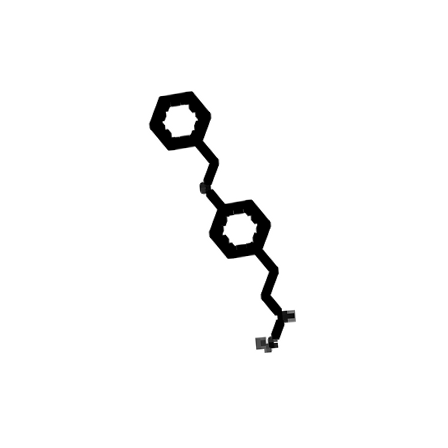 CNCCc1ccc(OCc2ccccc2)cc1